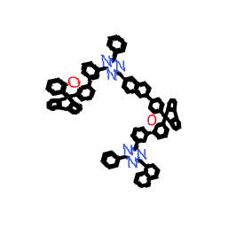 c1ccc(-c2nc(-c3cccc(-c4cccc5c4Oc4ccccc4C54c5ccccc5-c5ccccc54)c3)nc(-c3ccc4cc(-c5ccc6c(c5)Oc5c(-c7cccc(-c8nc(-c9ccccc9)nc(-c9cccc%10ccccc9%10)n8)c7)cccc5C65c6ccccc6-c6ccccc65)ccc4c3)n2)cc1